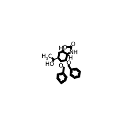 CC(O)[C@H]1C[C@@H]2OC(=O)N[C@@H]2[C@@H](OCc2ccccc2)[C@@H]1OCc1ccccc1